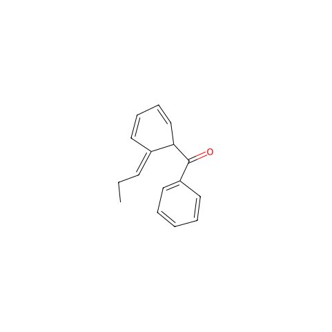 CCC=C1C=CC=CC1C(=O)c1ccccc1